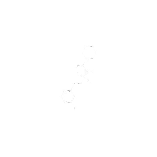 O=C(NS(=O)(=O)/C=C/c1cccc(Cl)c1)N1CCCCC1